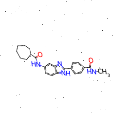 CNC(=O)c1ccc(-c2nc3cc(NC(=O)C4CCCCCC4)ccc3[nH]2)cc1